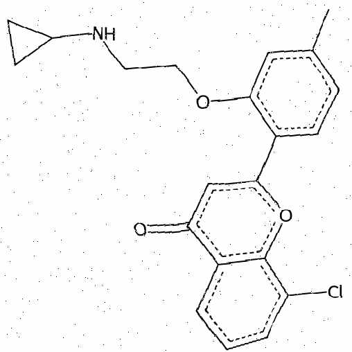 Cc1ccc(-c2cc(=O)c3cccc(Cl)c3o2)c(OCCNC2CC2)c1